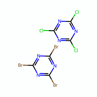 Brc1nc(Br)nc(Br)n1.Clc1nc(Cl)nc(Cl)n1